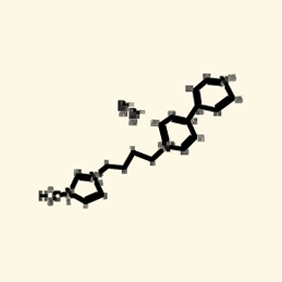 Cn1cc[n+](CCCC[n+]2ccc(-c3ccncc3)cc2)c1.[Br-].[Br-]